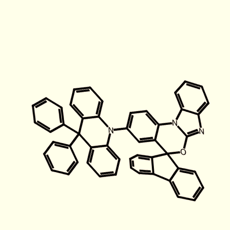 c1ccc(C2(c3ccccc3)c3ccccc3N(c3ccc4c(c3)C3(Oc5nc6ccccc6n5-4)c4ccccc4-c4ccccc43)c3ccccc32)cc1